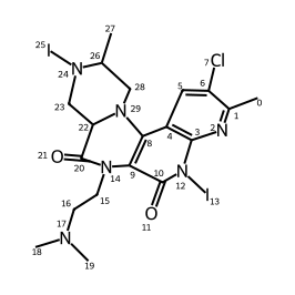 Cc1nc2c(cc1Cl)c1c(c(=O)n2I)N(CCN(C)C)C(=O)C2CN(I)C(C)CN12